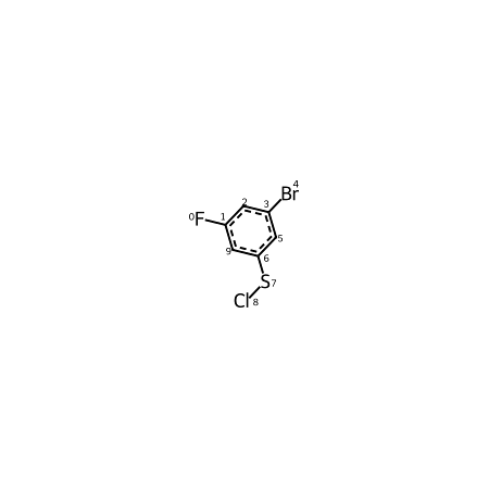 Fc1cc(Br)cc(SCl)c1